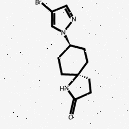 O=C1CC[C@]2(CC[C@H](n3cc(Br)cn3)CC2)N1